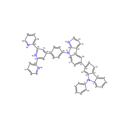 c1ccc(-n2c3ccccc3c3ccc(-c4ccc5c(c4)c4cccnc4n5-c4ccc(-c5cc(-c6ccccn6)nc(-c6ccccn6)c5)cc4)cc32)cc1